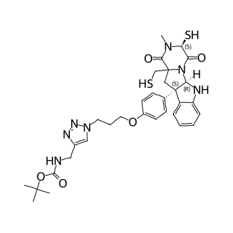 CN1C(=O)C2(CS)C[C@]3(c4ccc(OCCCn5cc(CNC(=O)OC(C)(C)C)nn5)cc4)c4ccccc4N[C@@H]3N2C(=O)[C@@H]1S